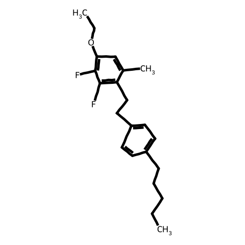 CCCCCc1ccc(CCc2c(C)cc(OCC)c(F)c2F)cc1